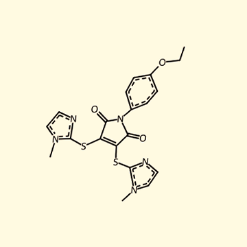 CCOc1ccc(N2C(=O)C(Sc3nccn3C)=C(Sc3nccn3C)C2=O)cc1